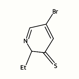 CCC1N=CC(Br)=CC1=S